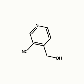 N#Cc1cnccc1CO